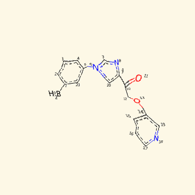 Bc1cccc(-n2cnc(C(=O)COc3cccnc3)c2)c1